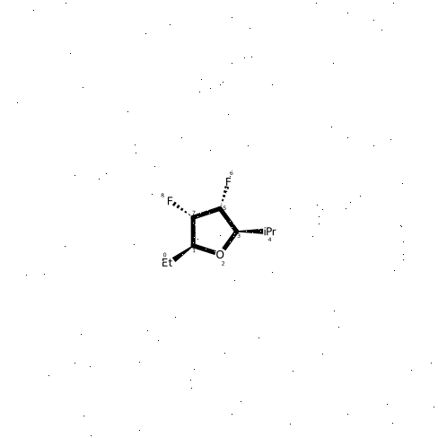 CC[C@@H]1O[C@H](C(C)C)[C@@H](F)[C@H]1F